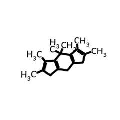 CC1=C(C)C2=C(C1)CC1=C(C(C)=C(C)C1)C2(C)C